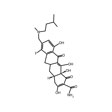 CC(C)CCN(C)Cc1cc(O)c2c(c1F)CC1C[C@H]3CC(O)=C(C(N)=O)C(=O)[C@@]3(O)C(O)=C1C2=O